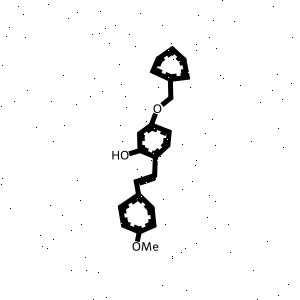 COc1ccc(/C=C/c2ccc(OCc3ccccc3)cc2O)cc1